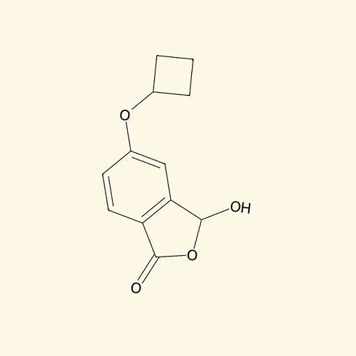 O=C1OC(O)c2cc(OC3CCC3)ccc21